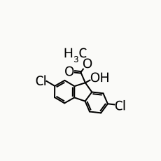 COC(=O)C1(O)c2cc(Cl)ccc2-c2ccc(Cl)cc21